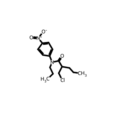 CCCC(CCl)C(=O)N(CCC)c1ccc([N+](=O)[O-])cc1